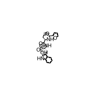 CC(C)C[C@@H](NC(=O)c1ccco1)C(=O)N[C@H](Cc1c[nH]c2ccccc12)P(=O)(O)O